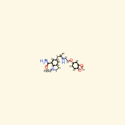 CCCCN1CCc2cc(C[C@@H](C)NCCOc3ccc4c(c3)OCO4)cc(C(N)=O)c21